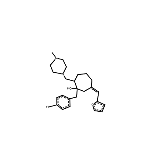 CN1CCN(CC2CCCC(=Cc3ccco3)CC2(O)Cc2ccc(Cl)cc2)CC1